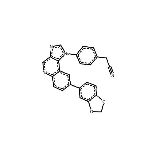 N#CCc1ccc(-n2cnc3cnc4ccc(-c5ccc6c(c5)OCO6)cc4c32)cc1